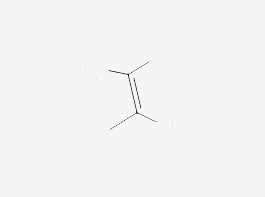 BC(B)=C(B)B